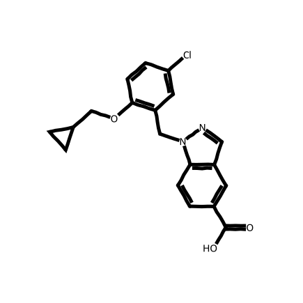 O=C(O)c1ccc2c(cnn2Cc2cc(Cl)ccc2OCC2CC2)c1